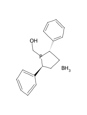 B.OCP1[C@H](c2ccccc2)CC[C@H]1c1ccccc1